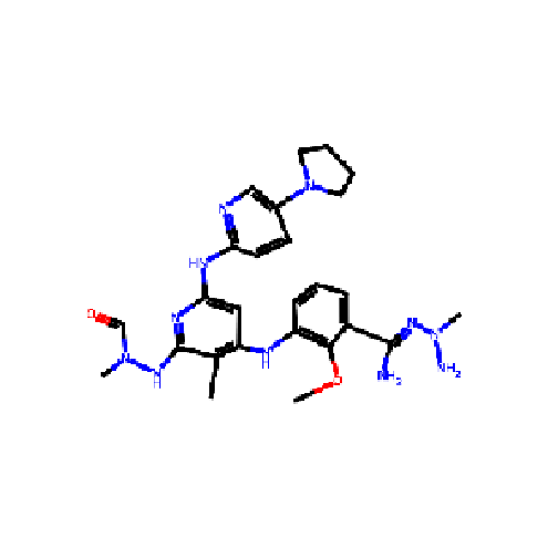 COc1c(Nc2cc(Nc3ccc(N4CCCC4)cn3)nc(NN(C)C=O)c2C)cccc1/C(N)=N/N(C)N